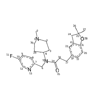 CN1CCC(N(Cc2ccc(F)cn2)C(=O)CCc2ccc3c(c2)CC(C)(C)O3)CC1